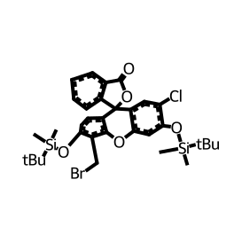 CC(C)(C)[Si](C)(C)Oc1cc2c(cc1Cl)C1(OC(=O)c3ccccc31)c1ccc(O[Si](C)(C)C(C)(C)C)c(CBr)c1O2